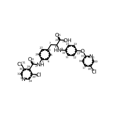 O=C(Nc1ccc(CC(Nc2ccc(Oc3ccc(Cl)cn3)cc2)C(=O)O)cc1)c1c(Cl)cncc1Cl